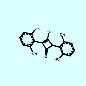 O=C1C(c2c(O)cccc2O)=C(O)C1c1c(O)cccc1O